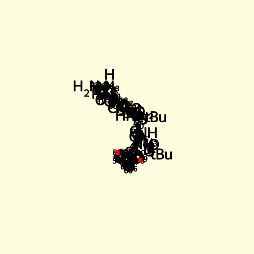 CC(C)(C)OC(=O)CC[C@H](NC(=O)CC[C@H](NC(=O)c1ccc(N(Cc2c[nH]c3nc(N)nc(=O)c-3n2)C(=O)C(F)(F)F)cc1)C(=O)OC(C)(C)C)C(=O)NCCSC(c1ccccc1)(c1ccccc1)c1ccccc1